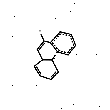 FC1=CC2C=CC=CC2c2ccccc21